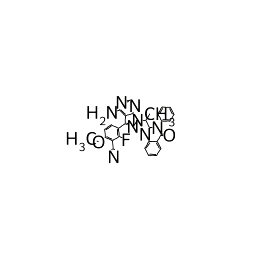 COc1ccc(-c2nn(C(C)c3nc4ccccc4c(=O)n3-c3ccccc3)c3ncnc(N)c23)c(F)c1C#N